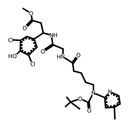 COC(=O)CC(NC(=O)CNC(=O)CCCCN(C(=O)OC(C)(C)C)c1cc(C)ccn1)c1cc(Cl)c(O)c(Cl)c1